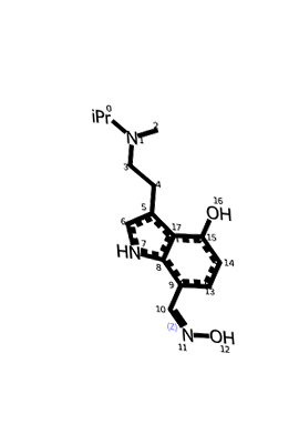 CC(C)N(C)CCc1c[nH]c2c(/C=N\O)ccc(O)c12